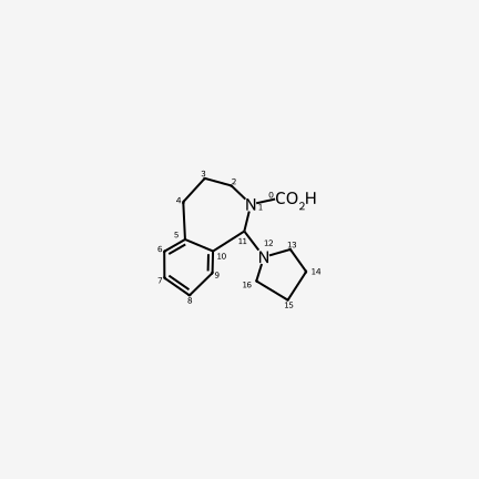 O=C(O)N1CCCc2ccccc2C1N1CCCC1